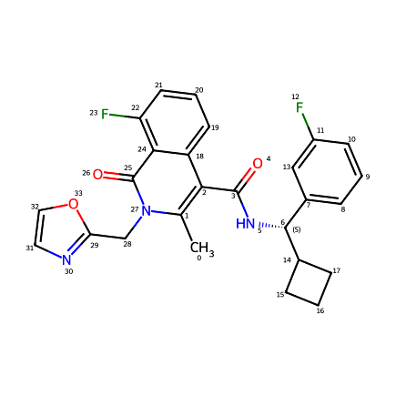 Cc1c(C(=O)N[C@H](c2cccc(F)c2)C2CCC2)c2cccc(F)c2c(=O)n1Cc1ncco1